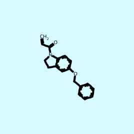 C=CC(=O)N1CCc2cc(OCc3ccccc3)ccc21